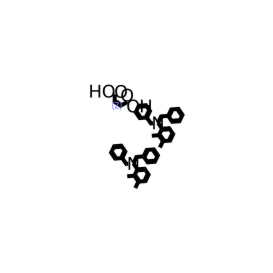 Cc1cccc(N(Cc2ccccc2)Cc2ccccc2)c1C.Cc1cccc(N(Cc2ccccc2)Cc2ccccc2)c1C.O=C(O)/C=C\C(=O)O